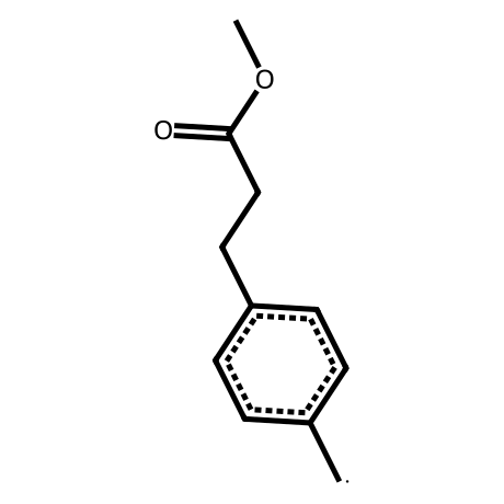 [CH2]c1ccc(CCC(=O)OC)cc1